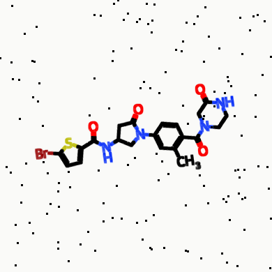 Cc1cc(N2CC(NC(=O)c3ccc(Br)s3)CC2=O)ccc1C(=O)N1CCNC(=O)C1